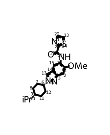 COc1cc2nn([C@H]3CC[C@H](C(C)C)CC3)cc2cc1NC(=O)c1nccs1